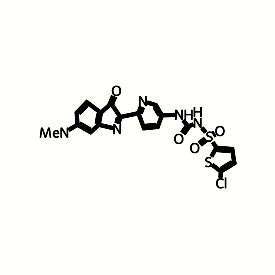 CNc1ccc2c(c1)N=C(c1ccc(NC(=O)NS(=O)(=O)c3ccc(Cl)s3)cn1)C2=O